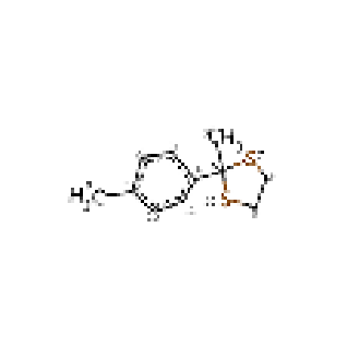 Cc1ccc(C2(C)SCCS2)cc1